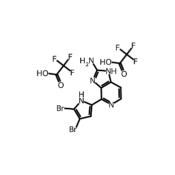 Nc1nc2c(-c3cc(Br)c(Br)[nH]3)nccc2[nH]1.O=C(O)C(F)(F)F.O=C(O)C(F)(F)F